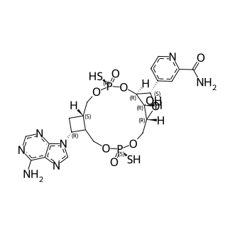 NC(=O)c1cc([C@@H]2O[C@@H]3CO[P@@](=O)(S)OCC4[C@@H](CO[P@@](=O)(S)O[C@@H]2[C@@H]3O)C[C@H]4n2cnc3c(N)ncnc32)ccn1